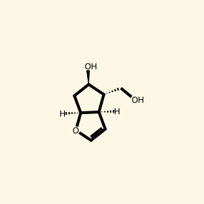 OC[C@@H]1[C@H]2C=CO[C@H]2C[C@H]1O